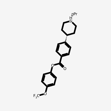 CCC[Si@H]1CC[C@H](c2ccc(C(=O)Oc3ccc(OC(F)(F)F)cc3)cc2)CC1